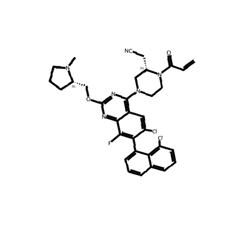 C=CC(=O)N1CCN(c2nc(OC[C@@H]3CCCN3C)nc3c(F)c(-c4cccc5cccc(Cl)c45)c(Cl)cc23)C[C@@H]1CC#N